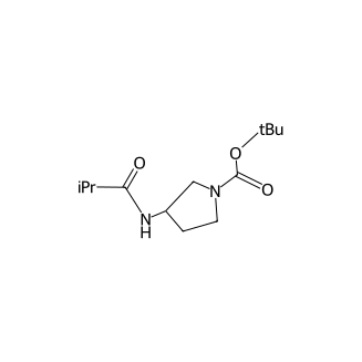 CC(C)C(=O)NC1CCN(C(=O)OC(C)(C)C)C1